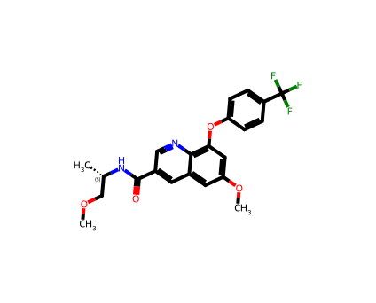 COC[C@H](C)NC(=O)c1cnc2c(Oc3ccc(C(F)(F)F)cc3)cc(OC)cc2c1